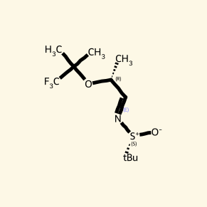 C[C@H](/C=N/[S@+]([O-])C(C)(C)C)OC(C)(C)C(F)(F)F